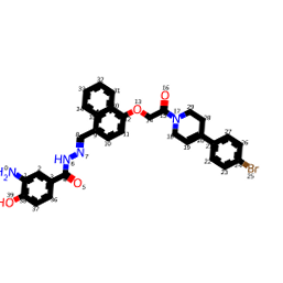 Nc1cc(C(=O)N/N=C/c2ccc(OCC(=O)N3CC=C(c4ccc(Br)cc4)CC3)c3ccccc23)ccc1O